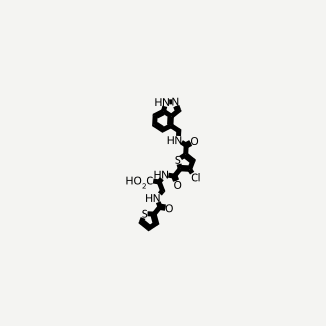 O=C(NCC(NC(=O)c1sc(C(=O)NCc2cccc3[nH]ncc23)cc1Cl)C(=O)O)c1cccs1